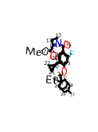 CCC1(COc2cc(F)c(C(=O)N3CCC3C(=O)OC)cc2C2CC2)CC2CC(C)CC(C2)C1